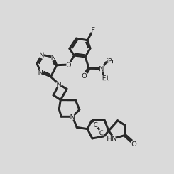 CCN(C(=O)c1cc(F)ccc1Oc1nncnc1N1CC2(CCN(CC3CC4CCC3CC43CCC(=O)N3)CC2)C1)C(C)C